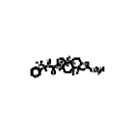 CC(NC(=O)[C@H]1CC[C@H]2[C@@H]3CCC(=O)[C@](C)(CCC(=O)O)[C@H]3CC[C@]12C)(c1ccccc1)C(F)(F)F